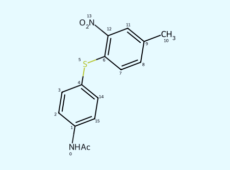 CC(=O)Nc1ccc(Sc2ccc(C)cc2[N+](=O)[O-])cc1